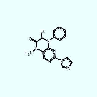 CCC1C(=O)N(C)c2cnc(-n3ccnc3)nc2N1c1ccccc1